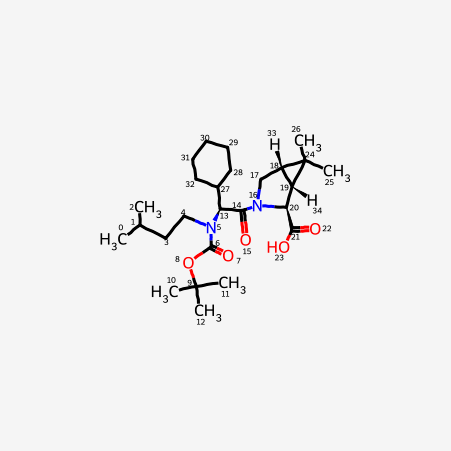 CC(C)CCN(C(=O)OC(C)(C)C)[C@H](C(=O)N1C[C@H]2[C@@H]([C@H]1C(=O)O)C2(C)C)C1CCCCC1